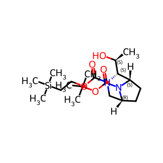 C[C@H](O)[C@@H]1[C@@H]2CC[C@H](CN1C(=O)OCC[Si](C)(C)C)N2C(=O)OC(C)(C)C